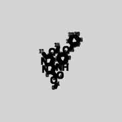 CCOC(=O)c1cnc2nc(C)c(OCC)cc2c1Nc1ccc(OCc2ccccc2)cc1